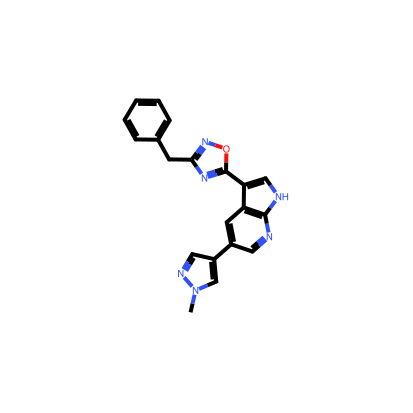 Cn1cc(-c2cnc3[nH]cc(-c4nc(Cc5ccccc5)no4)c3c2)cn1